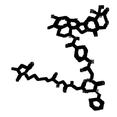 CC[C@@]1(O)C(=O)OCc2c1cc1n(c2=O)Cc2c-1nc1cc(F)c(C)c3c1c2[C@@H](NC(=O)c1ccc(NC(=O)CNC(=O)[C@H](Cc2ccccc2)NC(=O)CNC(=O)CNC(=O)CCCCCN2C(=O)CC(C)C2=O)cc1)CC3